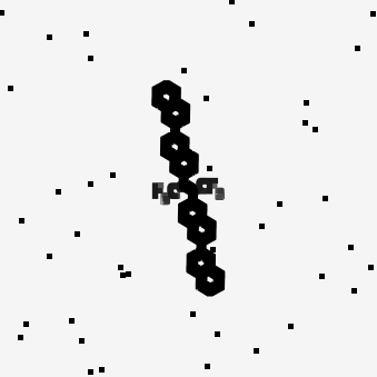 FC(F)(F)/C(=C(\c1ccc2cc(-c3ccc4ccccc4c3)ccc2c1)C(F)(F)F)c1ccc2cc(-c3ccc4ccccc4c3)ccc2c1